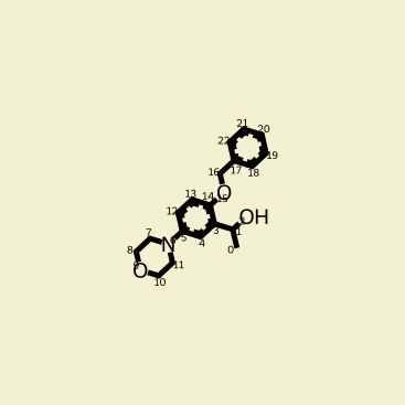 CC(O)c1cc(N2CCOCC2)ccc1OCc1ccccc1